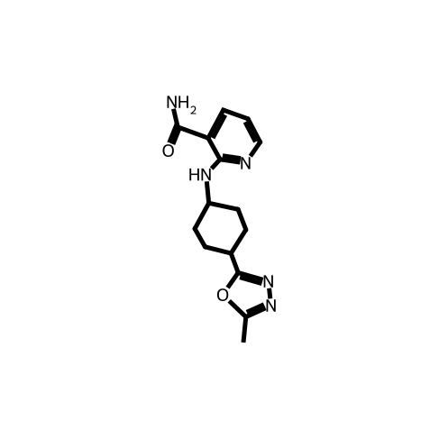 Cc1nnc(C2CCC(Nc3ncccc3C(N)=O)CC2)o1